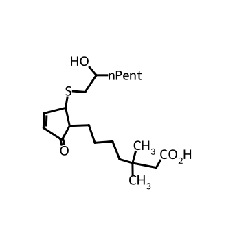 CCCCCC(O)CSC1C=CC(=O)C1CCCCC(C)(C)CC(=O)O